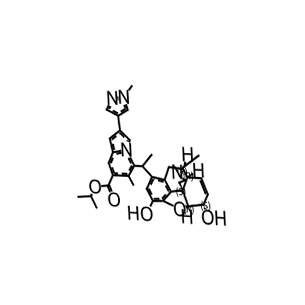 Cc1c(C(=O)OC(C)C)cc2cc(-c3cnn(C)c3)cn2c1C(C)c1cc(O)c2c3c1C[C@@H]1[C@@H]4C=C[C@H](O)[C@H](O2)[C@]34CCN1C